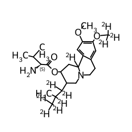 [2H]C([2H])([2H])Oc1cc2c(cc1OC)C1([2H])CC(OC(=O)[C@@H](N)C(C)C)C(C([2H])([2H])C([2H])(C)C([2H])([2H])[2H])CN1CC2